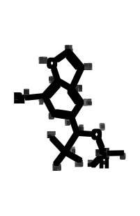 C[SiH](C)OC(c1cc(Br)c2occc2c1)C(C)(C)C